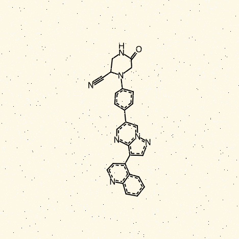 N#CC1CNC(=O)CN1c1ccc(-c2cnc3c(-c4ccnc5ccccc45)cnn3c2)cc1